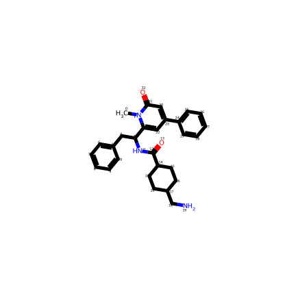 Cn1c(C(Cc2ccccc2)NC(=O)C2CCC(CN)CC2)cc(-c2ccccc2)cc1=O